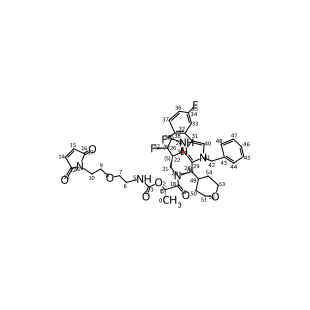 C[C@H](OC(=O)NCCOCCN1C(=O)C=CC1=O)C(=O)N(C[C@@H]1CNC[C@@H]1F)[C@@H](c1nc(-c2cc(F)ccc2F)cn1Cc1ccccc1)C1CCOCC1